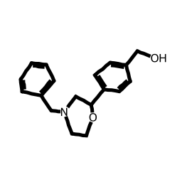 OCc1ccc(C2CN(Cc3ccccc3)CCO2)cc1